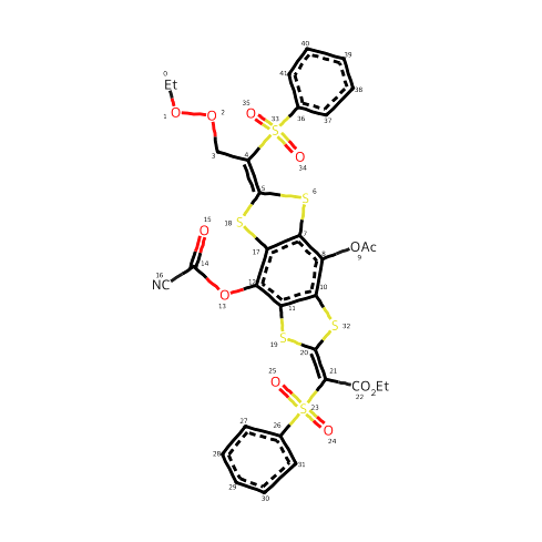 CCOOC/C(=C1/Sc2c(OC(C)=O)c3c(c(OC(=O)C#N)c2S1)S/C(=C(/C(=O)OCC)S(=O)(=O)c1ccccc1)S3)S(=O)(=O)c1ccccc1